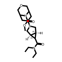 CCN(CC)C(=O)C1[C@H]2CN(C3CC4COCC(C3)N4C(=O)OC)C[C@@H]12